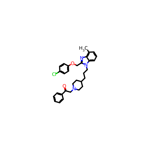 Cc1cccc2c1nc(COc1ccc(Cl)cc1)n2CCCC1CCN(CC(=O)c2ccccc2)CC1